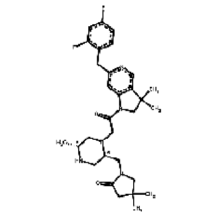 C[C@@H]1CN(CC(=O)N2CC(C)(C)c3cnc(Cc4ccc(F)cc4F)cc32)[C@@H](CN2CC(C)(C)CC2=O)CN1